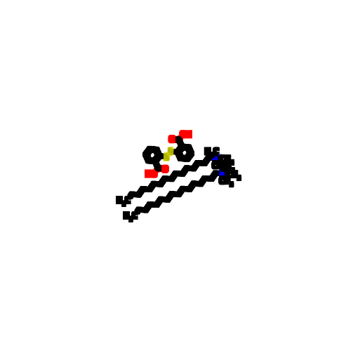 CCCCCCCCCCCCCCCC[N+](C)(C)C.CCCCCCCCCCCCCCCC[N+](C)(C)C.O=C(O)c1ccccc1SSc1ccccc1C(=O)O